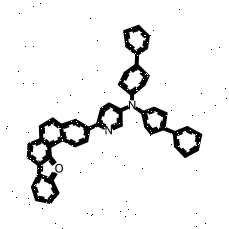 c1ccc(-c2ccc(N(c3ccc(-c4ccccc4)cc3)c3ccc(-c4ccc5c(ccc6ccc7c8ccccc8oc7c65)c4)nc3)cc2)cc1